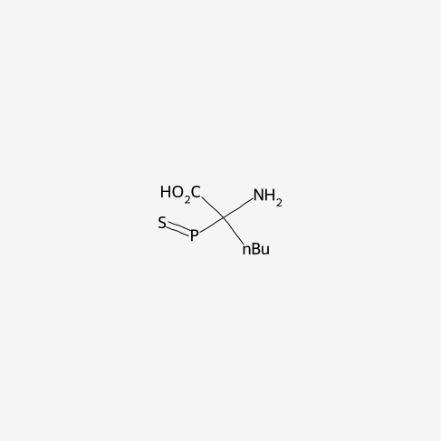 CCCCC(N)(P=S)C(=O)O